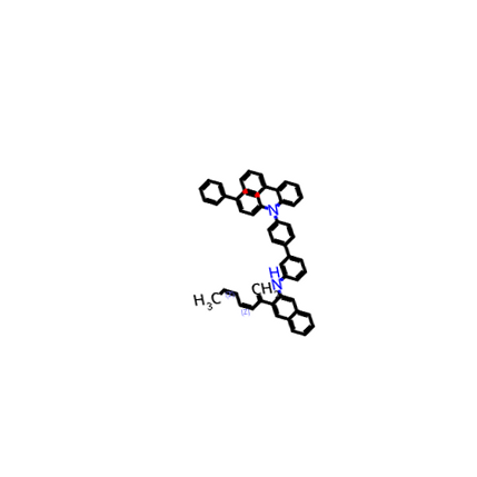 C=C(/C=C\C=C/C)c1cc2ccccc2cc1Nc1cccc(-c2ccc(N(c3ccc(-c4ccccc4)cc3)c3ccccc3-c3ccccc3)cc2)c1